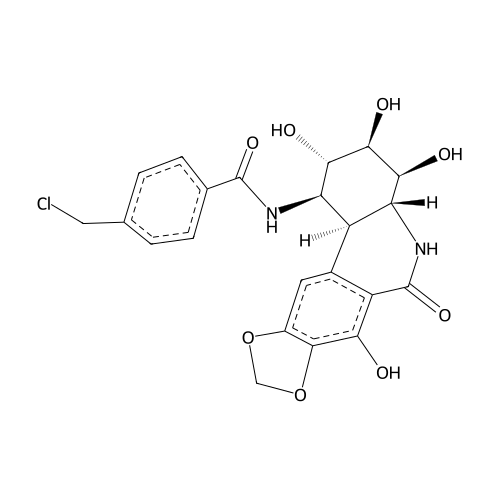 O=C(N[C@H]1[C@H](O)[C@@H](O)[C@@H](O)[C@@H]2NC(=O)c3c(cc4c(c3O)OCO4)[C@@H]12)c1ccc(CCl)cc1